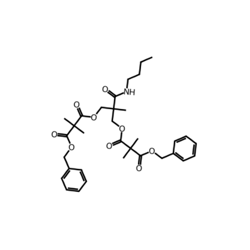 CCCCNC(=O)C(C)(COC(=O)C(C)(C)C(=O)OCc1ccccc1)COC(=O)C(C)(C)C(=O)OCc1ccccc1